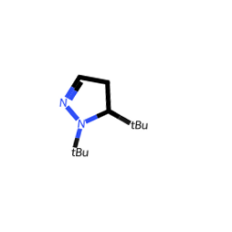 CC(C)(C)C1CC=NN1C(C)(C)C